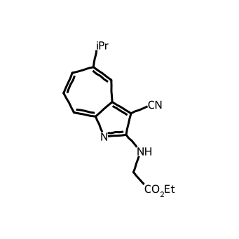 CCOC(=O)CNc1nc2cccc(C(C)C)cc-2c1C#N